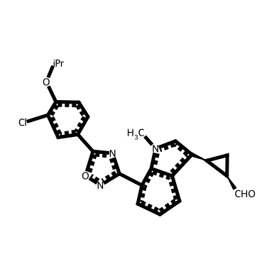 CC(C)Oc1ccc(-c2nc(-c3cccc4c([C@H]5C[C@H]5C=O)cn(C)c34)no2)cc1Cl